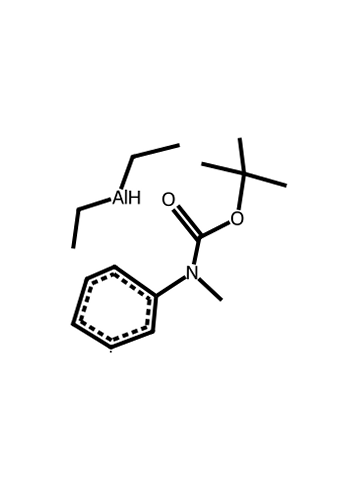 CN(C(=O)OC(C)(C)C)c1c[c]ccc1.C[CH2][AlH][CH2]C